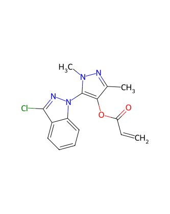 C=CC(=O)Oc1c(C)nn(C)c1-n1nc(Cl)c2ccccc21